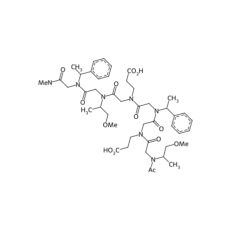 CNC(=O)CN(C(=O)CN(C(=O)CN(CCC(=O)O)C(=O)CN(C(=O)CN(CCC(=O)O)C(=O)CN(C(C)=O)C(C)COC)C(C)c1ccccc1)C(C)COC)C(C)c1ccccc1